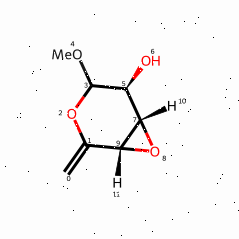 C=C1OC(OC)[C@@H](O)[C@@H]2O[C@H]12